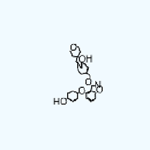 OC1CCC(Oc2cccc3onc(OCC4CCN(CC5(O)CCOCC5)CC4)c23)CC1